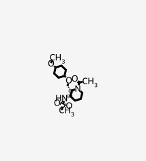 COC1CCC(OC[C@H]2[C@@H](NS(C)(=O)=O)CCCN2C(C)=O)CC1